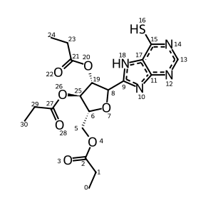 CCC(=O)OC[C@H]1OC(c2nc3ncnc(S)c3[nH]2)[C@@H](OC(=O)CC)[C@@H]1OC(=O)CC